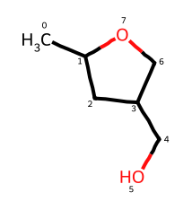 CC1CC(CO)CO1